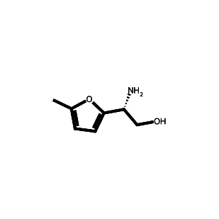 Cc1ccc([C@H](N)CO)o1